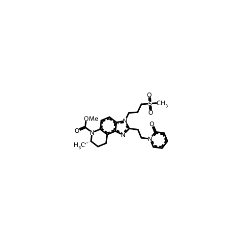 COC(=O)N1c2ccc3c(nc(CCn4ccccc4=O)n3CCCS(C)(=O)=O)c2CC[C@@H]1C